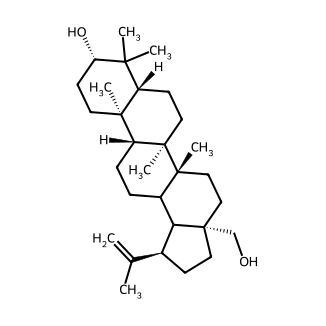 C=C(C)[C@@H]1CC[C@]2(CO)CC[C@]3(C)C(CC[C@@H]4[C@@]5(C)CC[C@H](O)C(C)(C)[C@@H]5CC[C@]43C)C12